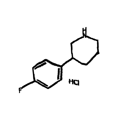 Cl.Fc1ccc(C2CCCNC2)cc1